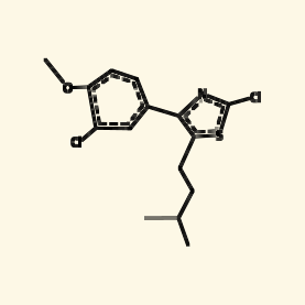 COc1ccc(-c2nc(Cl)sc2CCC(C)C)cc1Cl